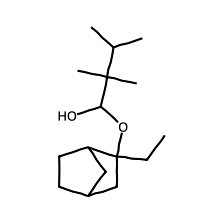 CCC1(OC(O)C(C)(C)C(C)C)CC2CCC1C2